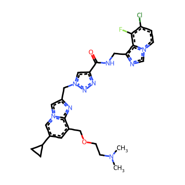 CN(C)CCOCc1cc(C2CC2)cn2cc(Cn3cc(C(=O)NCc4ncn5ccc(Cl)c(F)c45)nn3)nc12